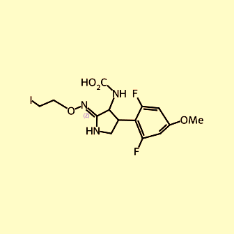 COc1cc(F)c(C2CN/C(=N\OCCI)C2NC(=O)O)c(F)c1